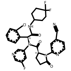 N#Cc1ccnc(N2C(=O)CC[C@H]2C(=O)N(c2cncc(F)c2)[C@H](C(=O)NC2CCC(F)(F)CC2)c2ccccc2Cl)c1